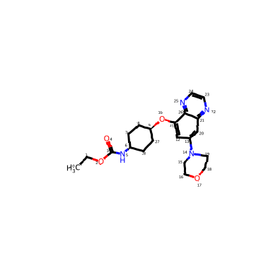 CCOC(=O)N[C@H]1CC[C@@H](Oc2cc(N3CCOCC3)cc3nccnc23)CC1